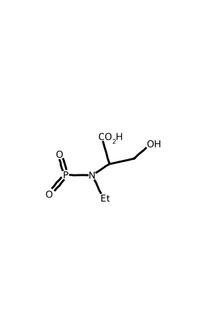 CCN(C(CO)C(=O)O)P(=O)=O